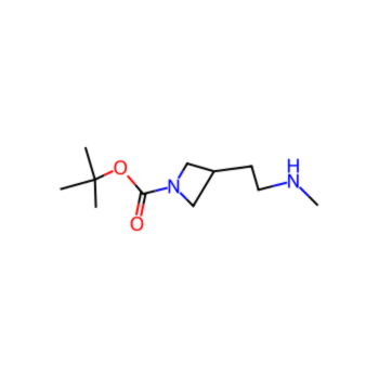 CNCCC1CN(C(=O)OC(C)(C)C)C1